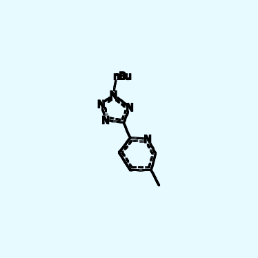 CCCCn1nnc(-c2ccc(C)cn2)n1